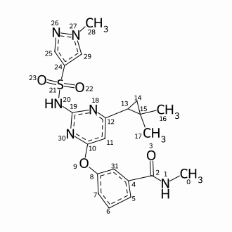 CNC(=O)c1cccc(Oc2cc(C3CC3(C)C)nc(NS(=O)(=O)c3cnn(C)c3)n2)c1